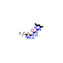 Cc1cc(C)nc(NC(=O)Nc2nnc(C(F)(F)F)s2)n1